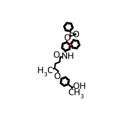 CC(CCC(=O)Nc1ccc(OP(=O)(c2ccccc2)c2ccccc2)cc1)COc1ccc(C(C)O)cc1